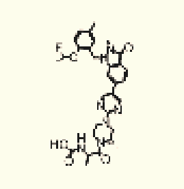 Cc1ccc(OC(F)F)c(Cn2c3cc(-c4cnc(N5CCN(C(=O)C(C)NC(=O)O)[C@@H](C)C5)nc4)ccc3c(=O)n2C)c1